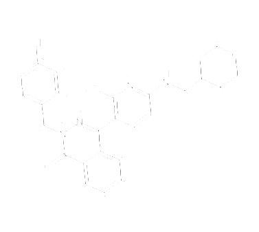 O=c1c2ccccc2c(-c2ccc(NCC3CCOCC3)nc2F)nn1Cc1ccc(Cl)cc1